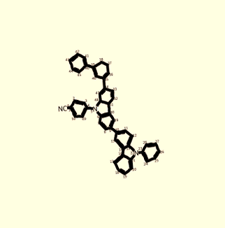 N#Cc1ccc(N2c3ccc(-c4ccc5c(c4)c4ccccc4n5-c4ccccc4)cc3C3C=CC(C4=CCCC(c5ccccc5)=C4)=CC32)cc1